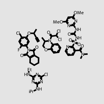 C#CC(C)Oc1cc(N2C(=O)C3=C(CCCC3)C2=O)c(F)cc1Cl.CC1COc2ccccc2N1C(=O)C(Cl)Cl.CCNc1nc(Cl)nc(NC(C)C)n1.COc1cc(OC)nc(NC(=O)NS(=O)(=O)c2ncccc2C(=O)N(C)C)n1